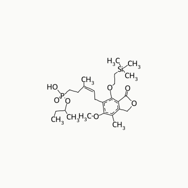 CCC(C)OP(=O)(O)CCC(C)=CCc1c(OC)c(C)c2c(c1OCC[Si](C)(C)C)C(=O)OC2